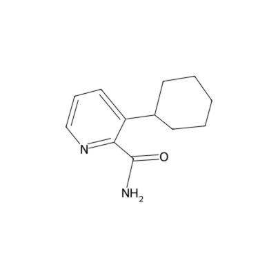 NC(=O)c1ncccc1C1CCCCC1